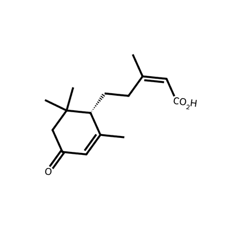 CC1=CC(=O)CC(C)(C)[C@@H]1CC/C(C)=C\C(=O)O